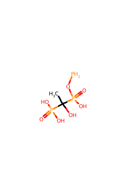 CC(O)(P(=O)(O)O)P(=O)(O)OP